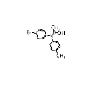 CB(O)N(c1ccc(C)cc1)c1ccc(Br)cc1